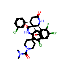 CN(C)C(=O)N1CCC(Oc2ccc(Br)c(F)c2[C@@H]2NC(=O)C[C@@H](c3cccc(Cl)c3)[C@]23C(=O)Nc2cc(Cl)ccc23)CC1